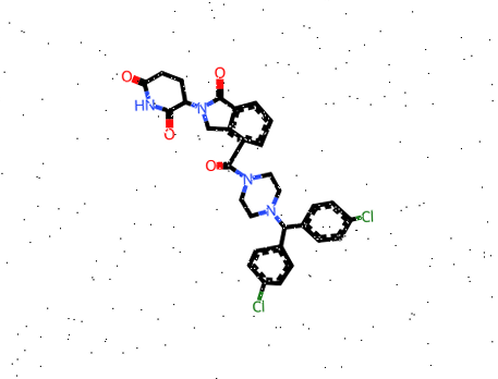 O=C1CCC(N2Cc3c(C(=O)N4CCN(C(c5ccc(Cl)cc5)c5ccc(Cl)cc5)CC4)cccc3C2=O)C(=O)N1